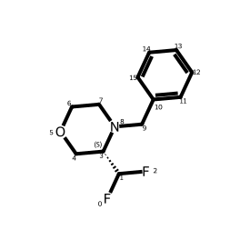 FC(F)[C@@H]1COCCN1Cc1ccccc1